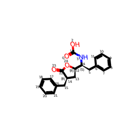 O=C(O)N[C@@H](Cc1ccccc1)[C@H]1C[C@@H](Cc2ccccc2)C(=O)O1